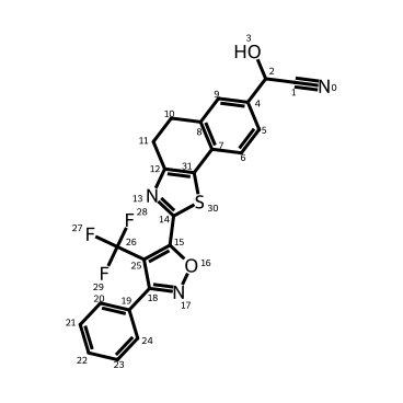 N#CC(O)c1ccc2c(c1)CCc1nc(-c3onc(-c4ccccc4)c3C(F)(F)F)sc1-2